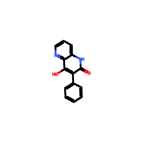 O=c1[nH]c2cccnc2c(O)c1-c1ccccc1